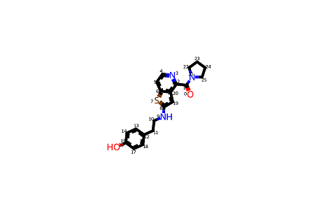 O=C(c1nccc2sc(NCCc3ccc(O)cc3)cc12)N1CCCC1